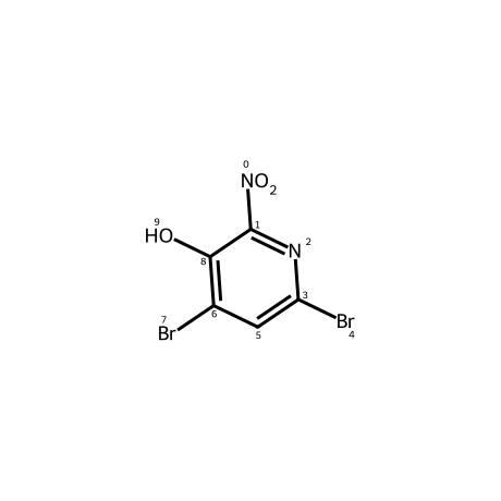 O=[N+]([O-])c1nc(Br)cc(Br)c1O